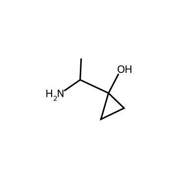 CC(N)C1(O)CC1